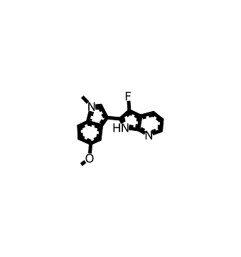 COc1ccc2c(c1)c(-c1[nH]c3ncccc3c1F)cn2C